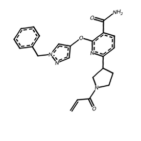 C=CC(=O)N1CCC(c2ccc(C(N)=O)c(Oc3cnn(Cc4ccccc4)c3)n2)C1